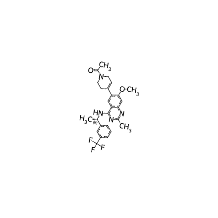 COc1cc2nc(C)nc(N[C@H](C)c3cccc(C(F)(F)F)c3)c2cc1C1=CCN(C(C)=O)CC1